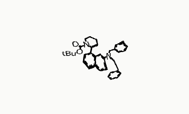 CC(C)(C)OC(=O)N1CCCC=C1c1cccc2ccc(N(Cc3ccccc3)Cc3ccccc3)cc12